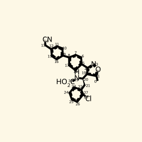 Cc1onc(-c2ccc(-c3ccc(CC#N)cc3)cc2)c1[C@@H](Cc1ccccc1Cl)NC(=O)O